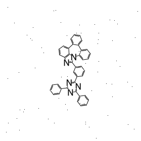 c1ccc(-c2nc(-c3ccccc3)nc(-c3cccc(-c4nc5cccc6c5n4-c4ccccc4-c4ccccc4-6)c3)n2)cc1